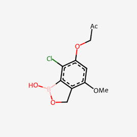 COc1cc(OCC(C)=O)c(Cl)c2c1COB2O